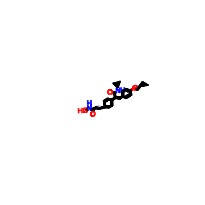 O=C(/C=C/c1ccc(C(=Cc2ccc(OCC3CC3)cc2)C(=O)NC2CC2)cc1)NO